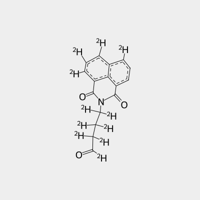 [2H]C(=O)C([2H])([2H])C([2H])([2H])C([2H])([2H])N1C(=O)c2ccc([2H])c3c([2H])c([2H])c([2H])c(c23)C1=O